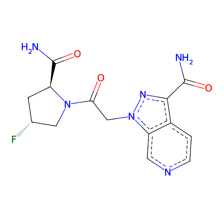 NC(=O)c1nn(CC(=O)N2C[C@H](F)C[C@H]2C(N)=O)c2cnccc12